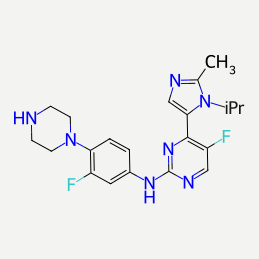 Cc1ncc(-c2nc(Nc3ccc(N4CCNCC4)c(F)c3)ncc2F)n1C(C)C